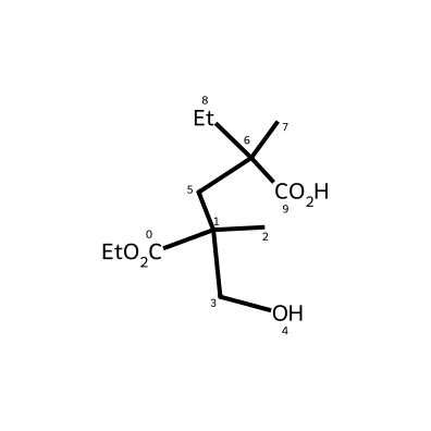 CCOC(=O)C(C)(CO)CC(C)(CC)C(=O)O